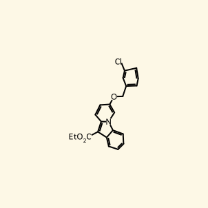 CCOC(=O)c1c2ccccc2n2cc(OCc3cccc(Cl)c3)ccc12